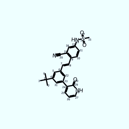 CC(C)(C)c1cc(C=Cc2ccc(NS(C)(=O)=O)cc2C#N)cc(-c2ccc[nH]c2=O)c1